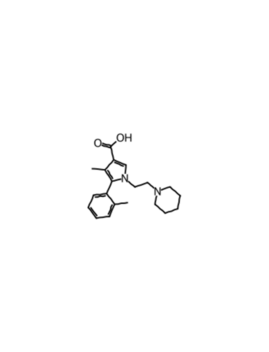 Cc1ccccc1-c1c(C)c(C(=O)O)cn1CCN1CCCCC1